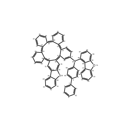 c1ccc(-c2ccc(N(c3ccc4c5ccccc5c5ccccc5c5ccccc5c5cc6c(cc5c4c3)sc3ccccc36)c3cccc4oc5ccccc5c34)cc2)cc1